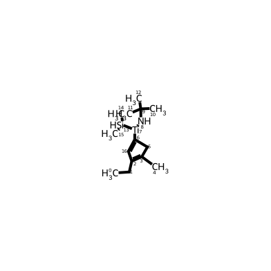 CCC1=C(C)C[C]([Ti]([NH]C(C)(C)C)[SiH](C)C)=C1